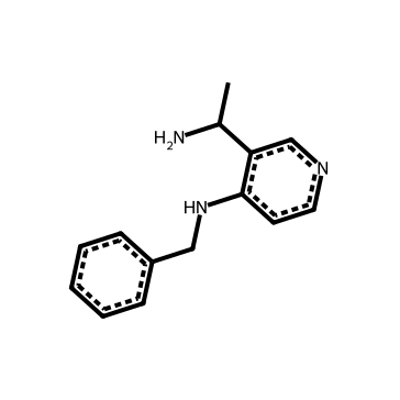 CC(N)c1cnccc1NCc1ccccc1